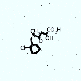 CN(Cc1ccccc1Cl)C(=O)C=C(O)C(=O)O